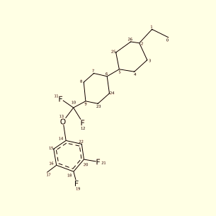 CCC1CCC(C2CCC(C(F)(F)Oc3cc(C)c(F)c(F)c3)CC2)CC1